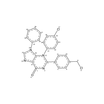 O=c1nc(-c2ccc(CCl)cc2)n(-c2ccc(Cl)cc2)c2c1ncn2-c1ccccc1